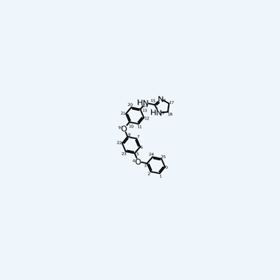 c1ccc(Oc2ccc(Oc3ccc(NC4=NCCN4)cc3)cc2)cc1